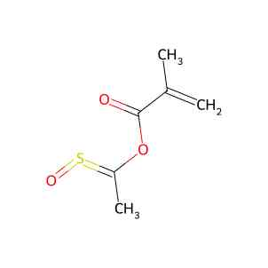 C=C(C)C(=O)OC(C)=S=O